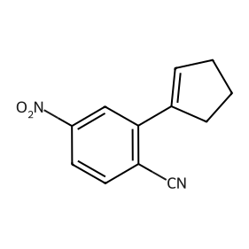 N#Cc1ccc([N+](=O)[O-])cc1C1=CCCC1